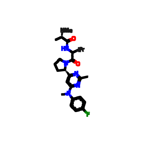 CN[C@@H](C)C(=O)NC(C(=O)N1CCC[C@H]1c1cc(N(C)c2ccc(F)cc2)nc(C)n1)C(C)C